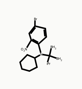 BC(B)(C(C)C)N(c1ccc(Br)cc1[N+](=O)[O-])C1CCCCC1